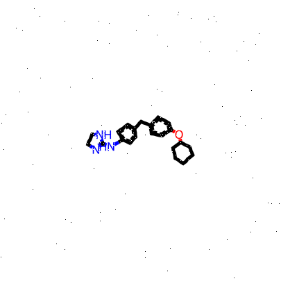 c1cc(NC2=NCCN2)ccc1Cc1ccc(OC2CCCCC2)cc1